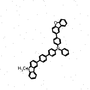 Cn1c2ccccc2c2cc(-c3ccc(-c4ccc(N(c5ccccc5)c5ccc(-c6ccc7oc8ccccc8c7c6)cc5)cc4)cc3)ccc21